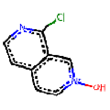 O[n+]1ccc2ccnc(Cl)c2c1